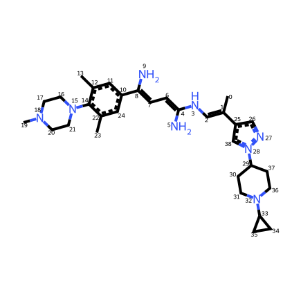 C/C(=C\N/C(N)=C/C=C(\N)c1cc(C)c(N2CCN(C)CC2)c(C)c1)c1cnn(C2CCN(C3CC3)CC2)c1